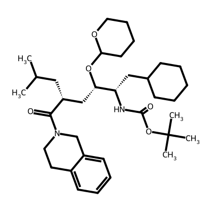 CC(C)C[C@H](C[C@H](OC1CCCCO1)[C@H](CC1CCCCC1)NC(=O)OC(C)(C)C)C(=O)N1CCc2ccccc2C1